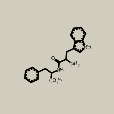 NC(Cc1c[nH]c2ccccc12)C(=O)NC(Cc1ccccc1)C(=O)O